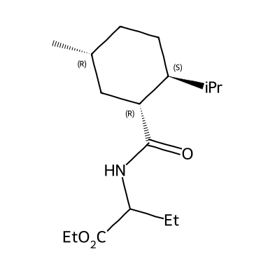 CCOC(=O)C(CC)NC(=O)[C@@H]1C[C@H](C)CC[C@H]1C(C)C